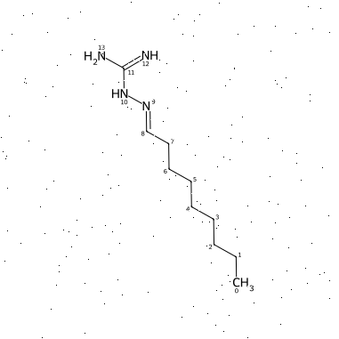 CCCCCCCC/C=N/NC(=N)N